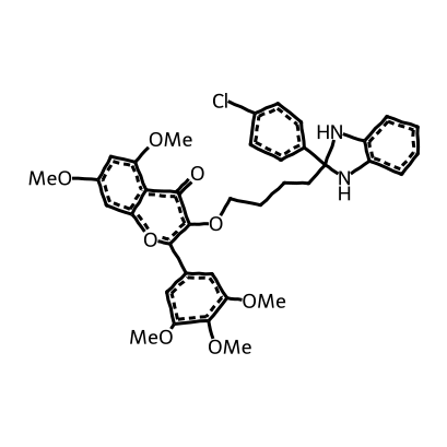 COc1cc(OC)c2c(=O)c(OCCCCC3(c4ccc(Cl)cc4)Nc4ccccc4N3)c(-c3cc(OC)c(OC)c(OC)c3)oc2c1